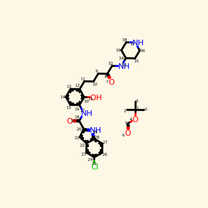 CC(C)(C)OC=O.O=C(CCCc1cccc(NC(=O)c2cc3cc(Cl)ccc3[nH]2)c1O)CNC1CCNCC1